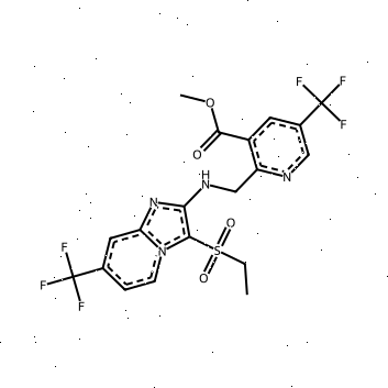 CCS(=O)(=O)c1c(NCc2ncc(C(F)(F)F)cc2C(=O)OC)nc2cc(C(F)(F)F)ccn12